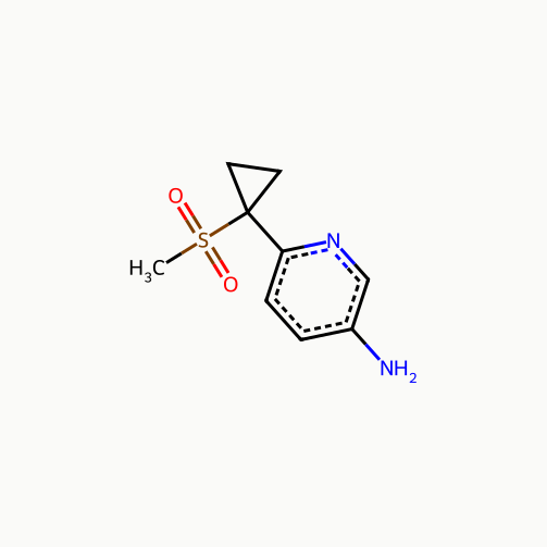 CS(=O)(=O)C1(c2ccc(N)cn2)CC1